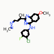 C=N/N=C\C=C(/C)c1nc(Nc2ccc(F)c(Cl)c2)c2ccc(OC)cc2n1